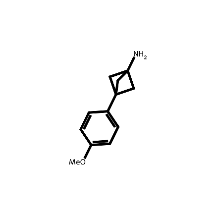 COc1ccc(C23CC(N)(C2)C3)cc1